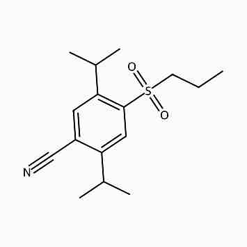 CCCS(=O)(=O)c1cc(C(C)C)c(C#N)cc1C(C)C